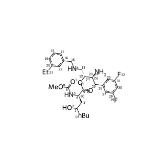 CCCCC(O)C[C@@H](NC(=O)OC)C(=O)O[C@H](CNCc1cccc(CC)c1)[C@@H](N)Cc1cc(F)cc(F)c1